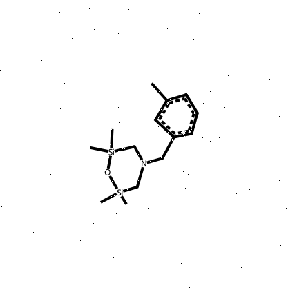 Cc1cccc(CN2C[Si](C)(C)O[Si](C)(C)C2)c1